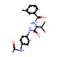 CC(=O)Nc1ccc(NC(=O)[C@@H](NC(=O)c2cccc(C)c2)C(C)C)cc1